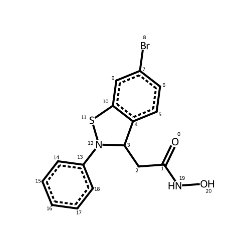 O=C(CC1c2ccc(Br)cc2SN1c1ccccc1)NO